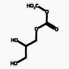 O=C(O)OC(=O)OCC(O)CO